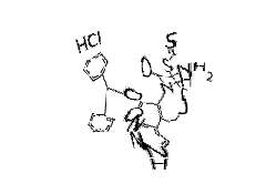 Cl.N[C@]1(SC=S)C(=O)N2C(C(=O)OC(c3ccccc3)c3ccccc3)=C(c3c[nH]nn3)CS[C@H]21